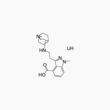 Cn1nc(CCNC2CN3CCC2CC3)c2c(C(=O)O)cccc21.[LiH]